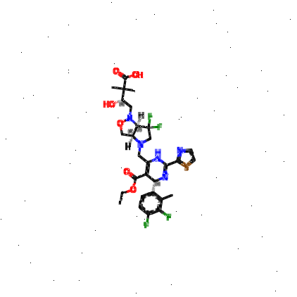 CCOC(=O)C1=C(CN2CC(F)(F)[C@H]3[C@@H]2CON3C[C@H](O)C(C)(C)C(=O)O)NC(c2nccs2)=N[C@@H]1c1ccc(F)c(F)c1C